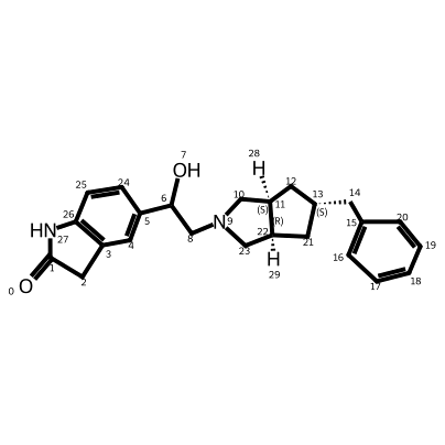 O=C1Cc2cc(C(O)CN3C[C@H]4C[C@H](Cc5ccccc5)C[C@H]4C3)ccc2N1